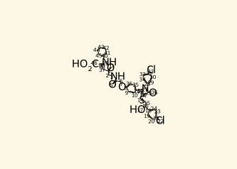 O=C(CNC(=O)COc1ccc([C@@H]2[C@@H](SCC(O)c3ccc(Cl)cc3)C(=O)N2c2ccc(Cl)cc2)cc1)C[C@@H](NC1CCCCC1)C(=O)O